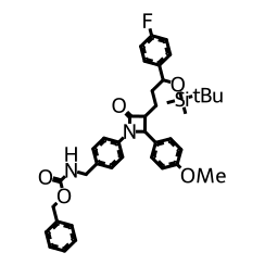 COc1ccc(C2C(CCC(O[Si](C)(C)C(C)(C)C)c3ccc(F)cc3)C(=O)N2c2ccc(CNC(=O)OCc3ccccc3)cc2)cc1